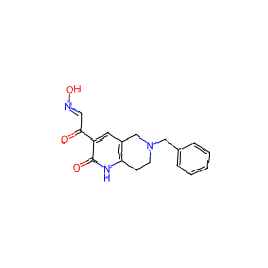 O=C(/C=N/O)c1cc2c([nH]c1=O)CCN(Cc1ccccc1)C2